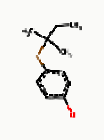 CCC(C)(C)Sc1ccc([O])cc1